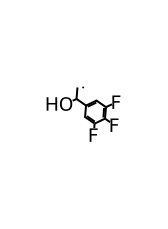 [CH2]C(O)c1cc(F)c(F)c(F)c1